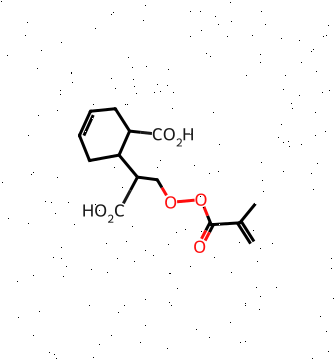 C=C(C)C(=O)OOCC(C(=O)O)C1CC=CCC1C(=O)O